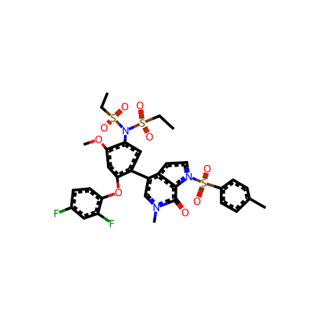 CCS(=O)(=O)N(c1cc(-c2cn(C)c(=O)c3c2ccn3S(=O)(=O)c2ccc(C)cc2)c(Oc2ccc(F)cc2F)cc1OC)S(=O)(=O)CC